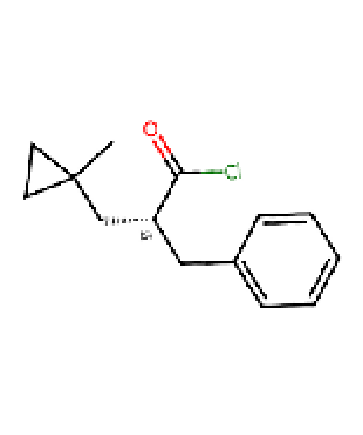 CC1(C[C@@H](Cc2ccccc2)C(=O)Cl)CC1